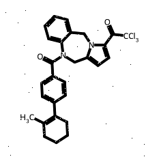 CC1=C(c2ccc(C(=O)N3Cc4ccc(C(=O)C(Cl)(Cl)Cl)n4Cc4ccccc43)cc2)CCCC1